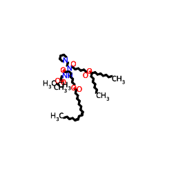 CCCCC/C=C\C/C=C\CCCCCCCC(=O)OCCCCCC(C(=O)NCC(=O)OC(C)(C)C)N(CCN1CCCCC1)C(=O)CCCCC(=O)OC(CCCCCCCC)CCCCCCCC